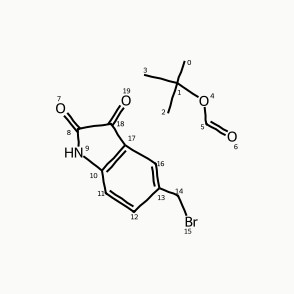 CC(C)(C)OC=O.O=C1Nc2ccc(CBr)cc2C1=O